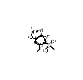 CCCCCOc1cnc(S(C)(=O)=O)c(C)c1